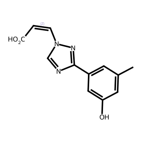 Cc1cc(O)cc(-c2ncn(/C=C\C(=O)O)n2)c1